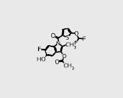 CC(=O)Oc1c(C)n(C(=O)c2ccc(OC(F)F)s2)c2cc(F)c(O)cc12